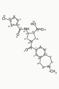 CN1CCc2ccc(C(=O)N3CC(NC(=O)c4ccc(Cl)s4)C(C(=O)O)C3)cc2CC1